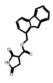 O=C1CC(C(=O)OCc2cccc3c2Cc2ccccc2-3)C(=O)N1